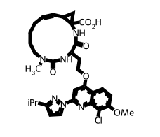 COc1ccc2c(OCCC3NC(=O)N(C)CCCCC=CC4CC4(C(=O)O)NC3=O)cc(-n3ccc(C(C)C)n3)nc2c1Cl